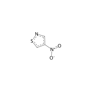 O=[N+]([O-])c1cnsc1